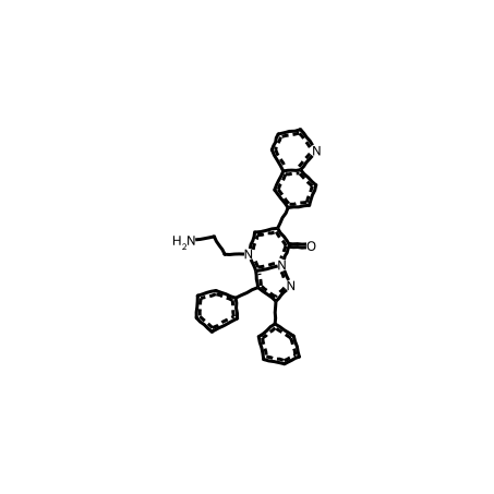 NCCn1cc(-c2ccc3ncccc3c2)c(=O)n2nc(-c3ccccc3)c(-c3ccccc3)c12